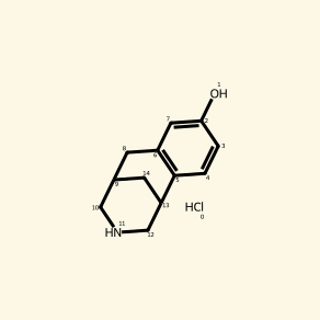 Cl.Oc1ccc2c(c1)CC1CNCC2C1